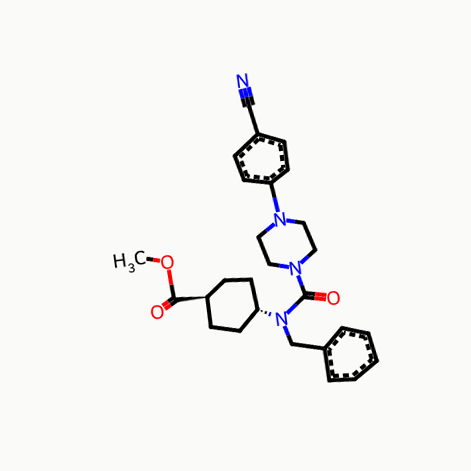 COC(=O)[C@H]1CC[C@H](N(Cc2ccccc2)C(=O)N2CCN(c3ccc(C#N)cc3)CC2)CC1